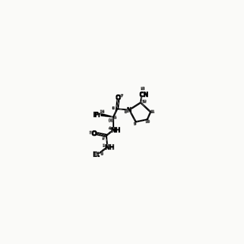 CCNC(=O)N[C@H](C(=O)N1CCCC1C#N)C(C)C